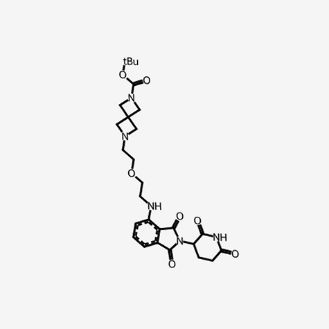 CC(C)(C)OC(=O)N1CC2(CN(CCOCCNc3cccc4c3C(=O)N(C3CCC(=O)NC3=O)C4=O)C2)C1